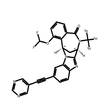 [2H]C([2H])([2H])N1C(=O)c2cccc(OC(F)F)c2[C@H]2C[C@@H]1c1nc3ccc(C#Cc4cncnc4)cc3n12